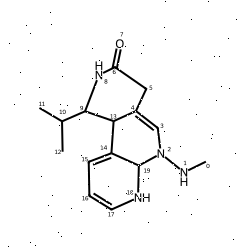 CNN1C=C2CC(=O)NC(C(C)C)C2C2=CC=CNC21